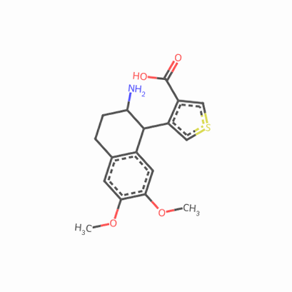 COc1cc2c(cc1OC)C(c1cscc1C(=O)O)C(N)CC2